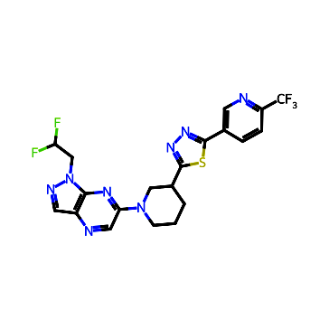 FC(F)Cn1ncc2ncc(N3CCCC(c4nnc(-c5ccc(C(F)(F)F)nc5)s4)C3)nc21